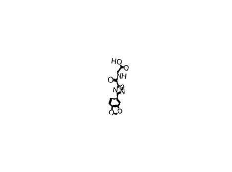 O=C(O)CNC(=O)c1nc(-c2ccc3c(c2)OCO3)no1